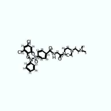 CN(C)CCN1CCN(C(=O)CNC(=O)c2ccc(S(=O)(=O)N(Oc3ccc(Cl)cc3Cl)c3ccccc3)cc2)CC1